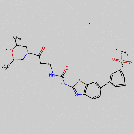 CC1CN(C(=O)CCNC(=O)Nc2nc3ccc(-c4cccc(S(C)(=O)=O)c4)cc3s2)CC(C)O1